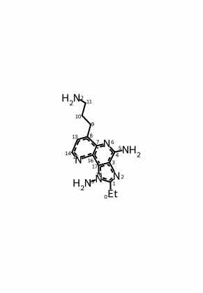 CCc1nc2c(N)nc3c(CCCN)ccnc3c2n1N